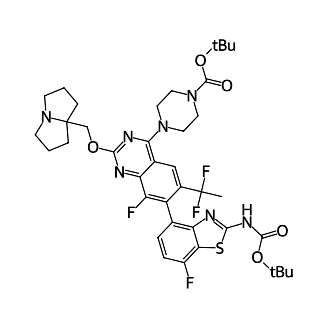 CC(C)(C)OC(=O)Nc1nc2c(-c3c(C(C)(F)F)cc4c(N5CCN(C(=O)OC(C)(C)C)CC5)nc(OCC56CCCN5CCC6)nc4c3F)ccc(F)c2s1